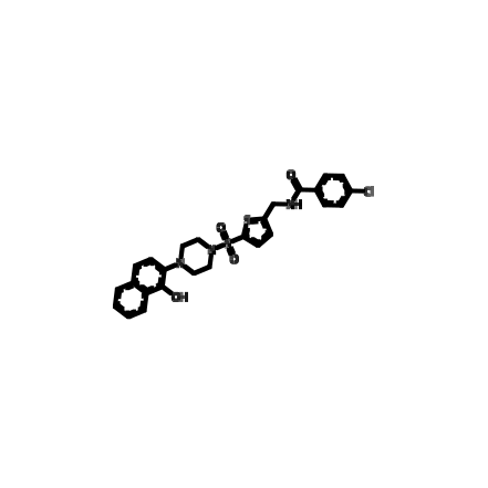 O=C(NCc1ccc(S(=O)(=O)N2CCN(c3ccc4ccccc4c3O)CC2)s1)c1ccc(Cl)cc1